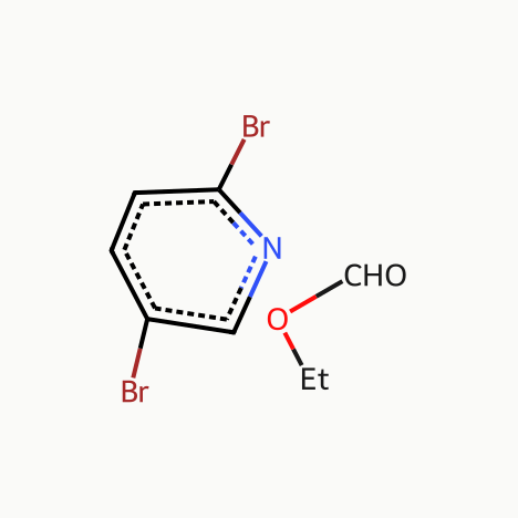 Brc1ccc(Br)nc1.CCOC=O